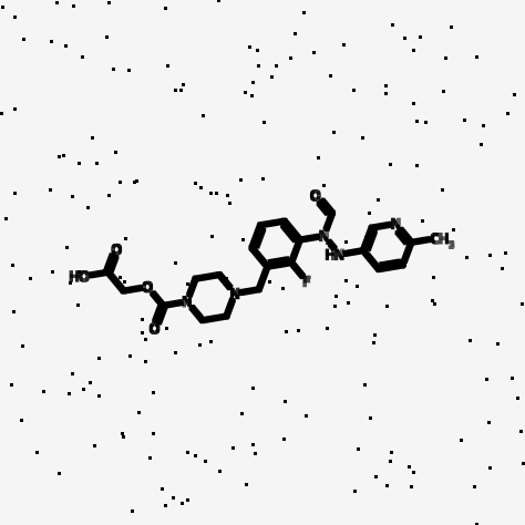 Cc1ccc(NN(C=O)c2cccc(CN3CCN(C(=O)OCC(=O)O)CC3)c2F)cn1